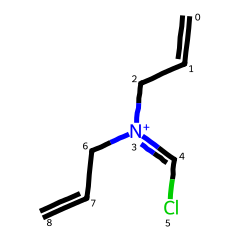 C=CC[N+](=CCl)CC=C